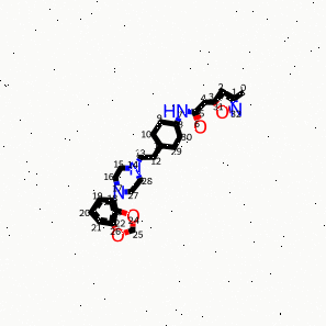 Cc1cc(CC(=O)NC2CCC(CCN3CCN(c4cccc5c4OCO5)CC3)CC2)on1